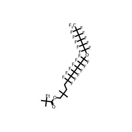 CCC(C)(C)C(=O)OCC(C)(C)CCC(F)(F)C(F)(F)C(F)(F)C(F)(F)C(F)(F)C(F)(F)OC(F)(F)C(F)(F)C(F)(F)C(F)(F)C(F)(F)C(F)(F)F